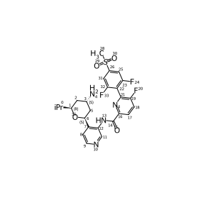 CC(C)[C@H]1C[C@H](N)C[C@@H](c2ccncc2NC(=O)c2ccc(F)c(-c3c(F)cc(S(C)(=O)=O)cc3F)n2)O1